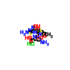 C=CC1=C(C(=O)O)N2C(=O)[C@@H](NC(=O)/C(=N\O)c3csc(N)n3)[C@H]2SC1.Cl.NCCCCC(N)C(=O)O